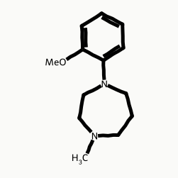 COc1ccccc1N1CCCN(C)CC1